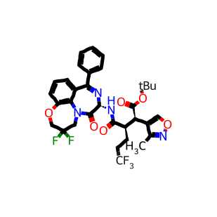 Cc1nocc1[C@H](C(=O)OC(C)(C)C)[C@@H](CCC(F)(F)F)C(=O)N[C@H]1N=C(c2ccccc2)c2cccc3c2N(CC(F)(F)CO3)C1=O